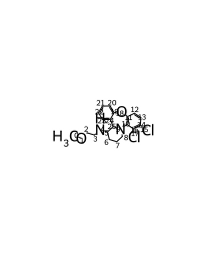 COCCNC1CCCN2c3c(ccc(Cl)c3Cl)Oc3ccccc3C12